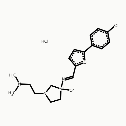 CN(C)CCN1CC[N+]([O-])(N=Cc2ccc(-c3ccc(Cl)cc3)o2)C1.Cl